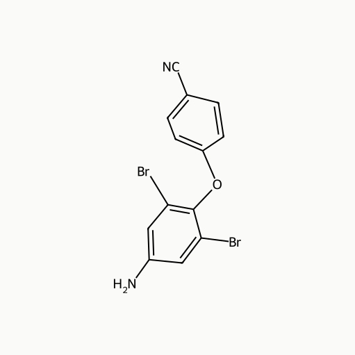 N#Cc1ccc(Oc2c(Br)cc(N)cc2Br)cc1